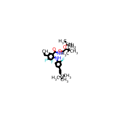 C=Cc1cc(C(=O)NOCC(O[SiH](C)C)C(C)(C)C)c(Nc2ccc(C#C[Si](C)(C)C)cc2F)c(F)c1F